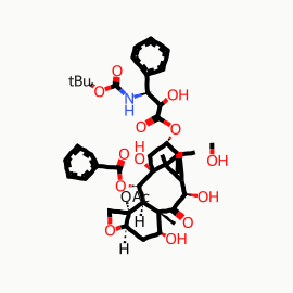 CC(=O)O[C@@]12CO[C@@H]1C[C@H](O)[C@@]1(C)C(=O)[C@H](O)C3=C(C)[C@@H](OC(=O)C(O)[C@@H](NC(=O)OC(C)(C)C)c4ccccc4)C[C@@](O)([C@@H](OC(=O)c4ccccc4)[C@H]21)C3(C)C.CO